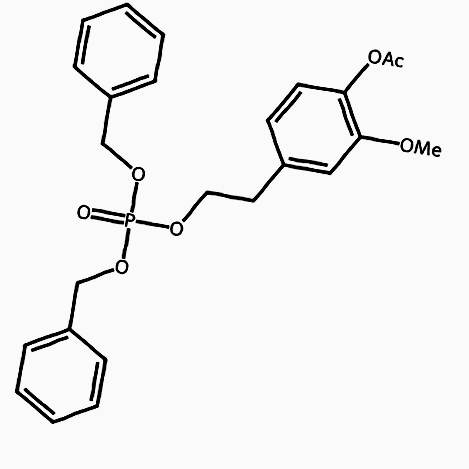 COc1cc(CCOP(=O)(OCc2ccccc2)OCc2ccccc2)ccc1OC(C)=O